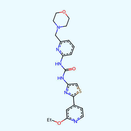 CCOc1cc(-c2nc(NC(=O)Nc3cccc(CN4CCOCC4)n3)cs2)ccn1